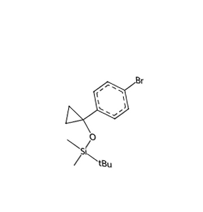 CC(C)(C)[Si](C)(C)OC1(c2ccc(Br)cc2)CC1